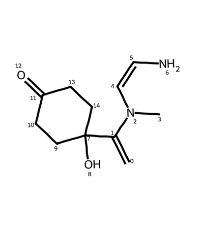 C=C(N(C)/C=C\N)C1(O)CCC(=O)CC1